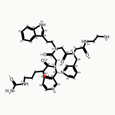 NC(=O)NCCCC(N)C(=O)N(CC(=O)N(CCc1c[nH]c2ccccc12)CC(=O)N(CC(=O)NCCS)Cc1cccnc1)Cc1cccnc1